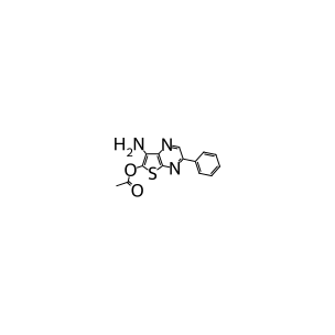 CC(=O)Oc1sc2nc(-c3ccccc3)cnc2c1N